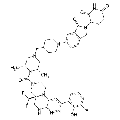 C[C@@H]1CN(CC2CCN(c3ccc4c(c3)C(=O)N(C3CCC(=O)NC3=O)C4)CC2)C[C@H](C)N1C(=O)N1CCN2c3cc(-c4cccc(F)c4O)nnc3NC[C@]2(C(F)F)C1